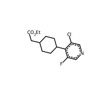 CCOC(=O)CC1CCC(c2c(F)cncc2Cl)CC1